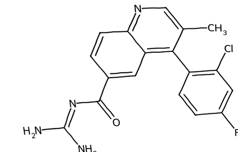 Cc1cnc2ccc(C(=O)N=C(N)N)cc2c1-c1ccc(F)cc1Cl